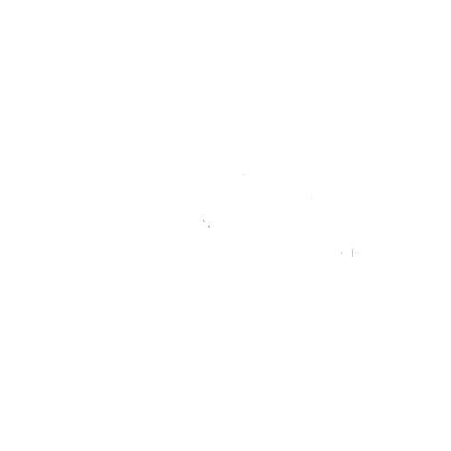 O=C1c2c(ccc(O)c2O)CN1C1CCCc2ccccc21